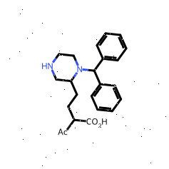 CC(=O)C(CCC1CNCCN1C(c1ccccc1)c1ccccc1)C(=O)O